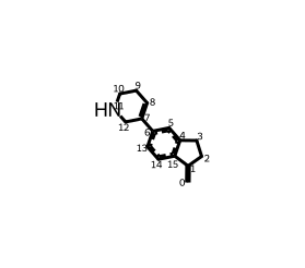 C=C1CCc2cc(C3=CCCNC3)ccc21